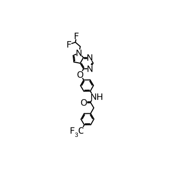 O=C(Cc1ccc(C(F)(F)F)cc1)Nc1ccc(Oc2ncnc3c2ccn3CC(F)F)cc1